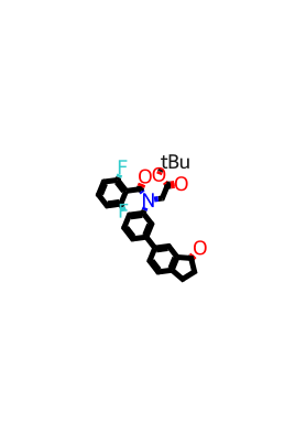 CC(C)(C)OC(=O)CN(C(=O)c1c(F)cccc1F)c1cccc(-c2ccc3c(c2)C(=O)CC3)c1